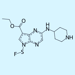 CCOC(=O)c1cn(SF)c2ncc(NC3CCNCC3)nc12